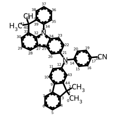 CC1(C)c2ccccc2-c2ccc(N(c3ccc(C#N)cc3)c3ccc4c(c3)c3cccc5c3n4-c3ccccc3C5(C)C)cc21